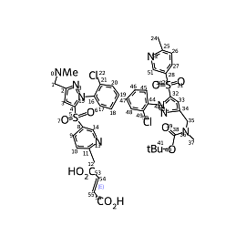 CNCc1cc(S(=O)(=O)c2ccc(C)nc2)n(-c2ccccc2Cl)n1.Cc1ccc(S(=O)(=O)c2cc(CN(C)C(=O)OC(C)(C)C)nn2-c2ccccc2Cl)cn1.O=C(O)/C=C/C(=O)O